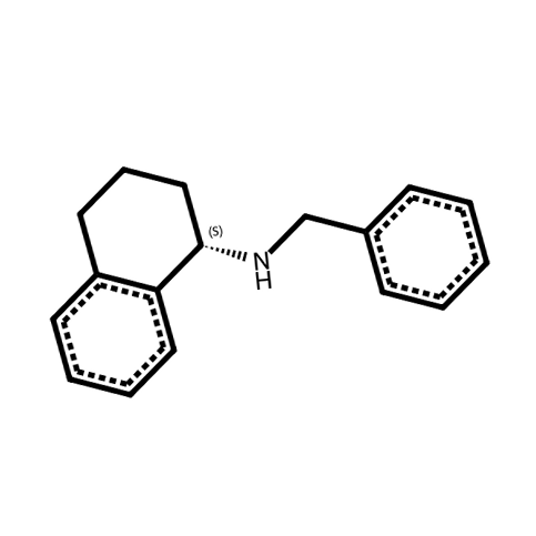 c1ccc(CN[C@H]2CCCc3ccccc32)cc1